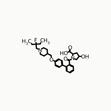 CCC(F)(CC)CN1CCC(COc2ccc(-c3ccccc3C(=O)N3CC(O)CC3C(=O)O)cc2)CC1